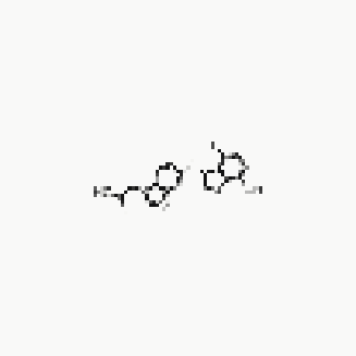 O=C(O)Cc1coc2cc(OC3CCc4c(O)ccc(F)c43)ccc12